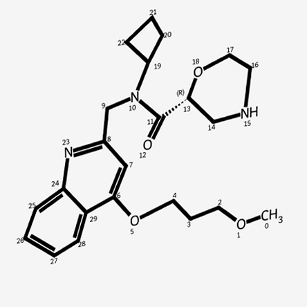 COCCCOc1cc(CN(C(=O)[C@H]2CNCCO2)C2CCC2)nc2ccccc12